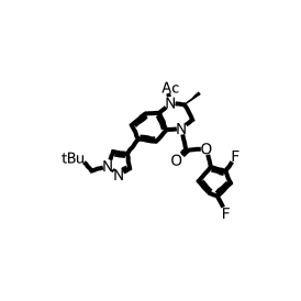 CC(=O)N1c2ccc(-c3cnn(CC(C)(C)C)c3)cc2N(C(=O)Oc2ccc(F)cc2F)C[C@@H]1C